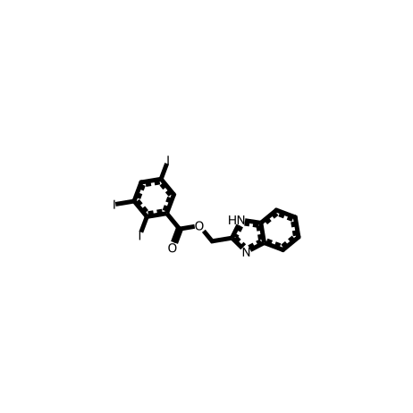 O=C(OCc1nc2ccccc2[nH]1)c1cc(I)cc(I)c1I